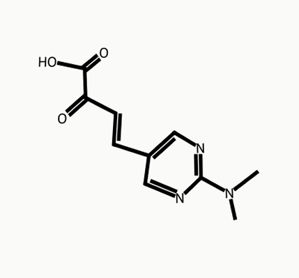 CN(C)c1ncc(C=CC(=O)C(=O)O)cn1